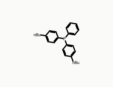 CCCCc1ccc(P(c2ccccc2)c2ccc(CCCC)cc2)cc1